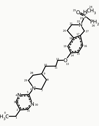 CCc1cnc(N2CCC(CCCOc3ccc4c(c3)CCN([SH](C)(=O)P)C4)CC2)nc1